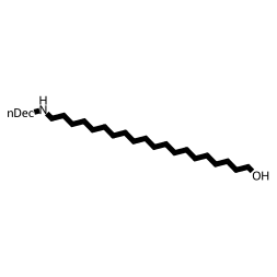 CCCCCCCCCCNCCCCCCCCCCCCCCCCCCCCO